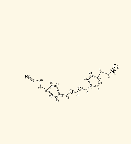 [C-]#[N+]CCc1ccc(COCOCc2ccc(CCC#N)cc2)cc1